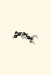 CCOc1cc(-c2ccc(F)cc2)c(C2CC2)cc1CN1CCN(C(=O)Cc2ccc(P(=O)(OCC)OCC)cc2)CC1